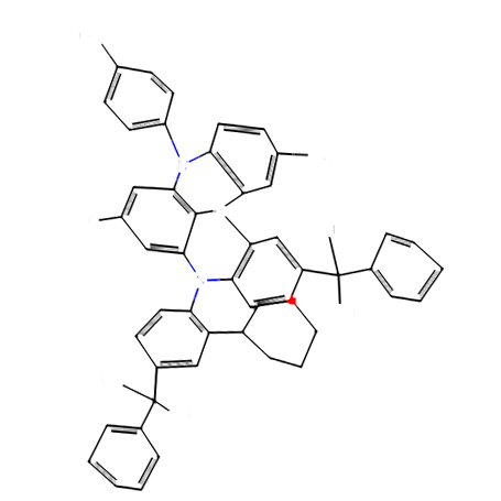 Cc1cc2c3c(c1)N(c1ccc(C(C)(C)c4ccccc4)cc1C1CCCCC1)c1ccc(C(C)(C)c4ccccc4)cc1B3c1cc(C(C)(C)C)ccc1N2c1ccc(C(C)(C)C)cc1